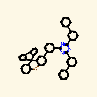 c1ccc(-c2cccc(-c3nc(-c4cccc(-c5ccccc5)c4)nc(-c4cccc(-c5ccc6c(c5)C5(c7ccccc7S6)c6ccccc6-c6ccccc65)c4)n3)c2)cc1